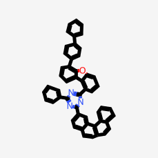 c1ccc(-c2ccc(-c3cccc4c3oc3cccc(-c5nc(-c6ccccc6)nc(-c6ccc7ccc8ccc9ccccc9c8c7c6)n5)c34)cc2)cc1